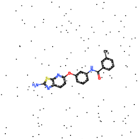 Nc1nc2ccc(Oc3cccc(NC(=O)c4cccc(C(F)(F)F)c4)c3)nc2s1